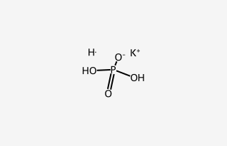 O=P([O-])(O)O.[H].[K+]